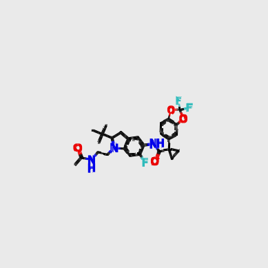 CC(=O)NCCN1c2cc(F)c(NC(=O)C3(c4ccc5c(c4)OC(F)(F)O5)CC3)cc2CC1C(C)(C)C